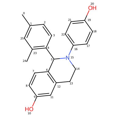 Cc1ccc(C2c3ccc(O)cc3CCN2c2ccc(O)cc2)c(C)c1